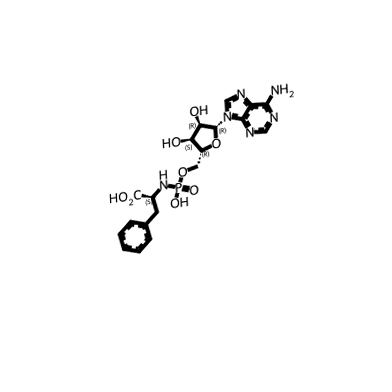 Nc1ncnc2c1ncn2[C@@H]1O[C@H](COP(=O)(O)N[C@@H](Cc2ccccc2)C(=O)O)[C@@H](O)[C@H]1O